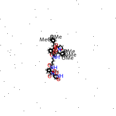 CCC[C@H](C(=O)N1CCCC[C@H]1C(=O)O[C@H](CCc1ccc(OC)c(OC)c1)c1ccccc1OCC(=O)NCCCCC(=O)Nc1cccc2c1C(=O)N(C1CCC(=O)NC1=O)C2=O)c1cc(OC)c(OC)c(OC)c1